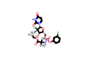 B[C@]1(Cl)[C@H](O)[C@@H](CO[P@@](=O)(NC(C)(C)C(=O)OCC)Oc2cccc(F)c2)O[C@H]1n1ccc(=O)[nH]c1=O